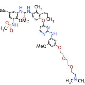 C/C=C\c1c(Oc2ccnc(Nc3cc(OC)cc(OCCOCCOCCN(C)C)c3)n2)ccc(NC(=O)Nc2cc(C(C)(C)C)cc(NS(C)(=O)=O)c2OC)c1C